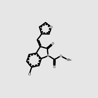 CC(C)(C)OC(=O)N1C(=O)C(=Cc2ccoc2)c2ccc(Cl)cc21